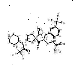 CC(C)[C@]1(C(=O)N2Cc3cc(C(F)(F)F)ccc3N(C(N)=O)C2)CC[C@@H](N(C(=O)C(F)(F)F)C2CCOCC2)C1